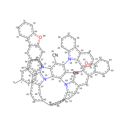 Cc1ccc2c(c1)c1cc3c(cc1n2-c1c(C#N)c(-n2c4ccccc4c4ccccc42)c(C#N)c2c1-n1c4ccccc4c4ccc(cc41)-c1ccc4c(c1)c1cc5c(cc1n4-2)oc1ccccc15)oc1ccccc13